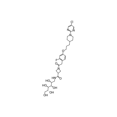 O=C(NC[C@H](O)[C@@H](O)[C@H](O)[C@H](O)CO)C1CN(C(=O)Cc2ccc(OCCCC3CCN(c4ncc(Cl)cn4)CC3)cc2F)C1